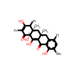 CCc1cc(C(C)(C)C)c(O)c2c1C[C@]1(C)C[C@]3(C)C(C(C)C)C(O)=C(C(C)=O)C(=O)[C@]3(O)C(O)=C1C2=O